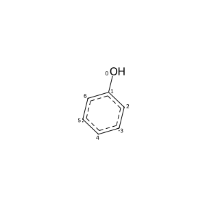 Oc1c[c]c[c]c1